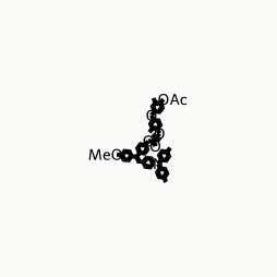 COc1ccc(C(=Cc2ccc(N(c3ccc(C)cc3)c3ccc(C)cc3)cc2)c2ccc(OC(=O)C(C)(C)Oc3ccc(Oc4ccc(OC(C)=O)c(C)c4)cc3C)cc2)cc1